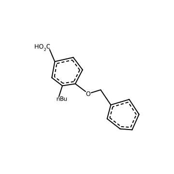 CCCCc1cc(C(=O)O)ccc1OCc1ccccc1